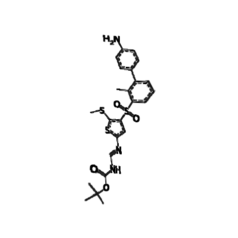 CSc1sc(N=CNC(=O)OC(C)(C)C)cc1S(=O)(=O)c1cccc(-c2ccc(N)cc2)c1C